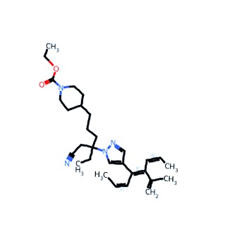 C=C(C)C(/C=C\C)=C(\C=C/C)c1cnn(C(CC)(CC#N)CCCC2CCN(C(=O)OCC)CC2)c1